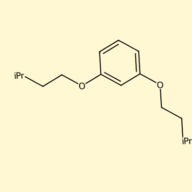 CC(C)CCOc1cccc(OCCC(C)C)c1